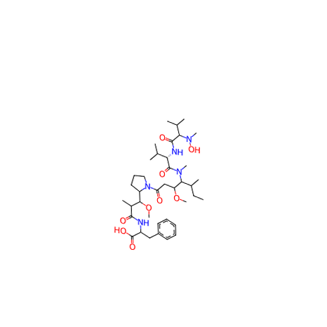 CCC(C)C(C(CC(=O)N1CCCC1C(OC)C(C)C(=O)NC(Cc1ccccc1)C(=O)O)OC)N(C)C(=O)[C@@H](NC(=O)C(C(C)C)N(C)O)C(C)C